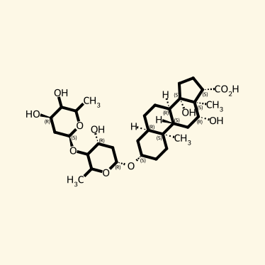 CC1O[C@@H](OC2C(C)O[C@@H](O[C@H]3CC[C@@]4(C)[C@H](CC[C@@H]5[C@@H]4C[C@@H](O)[C@]4(C)[C@@H](C(=O)O)CC[C@]54O)C3)C[C@H]2O)C[C@@H](O)C1O